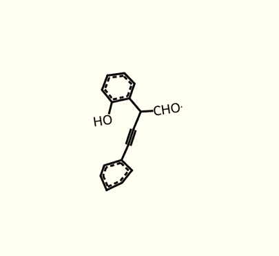 O=[C]C(C#Cc1ccccc1)c1ccccc1O